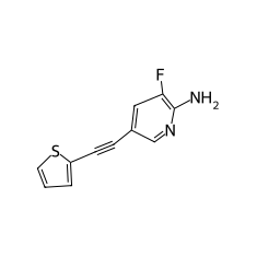 Nc1ncc(C#Cc2cccs2)cc1F